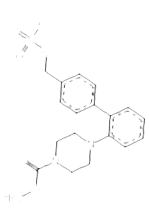 CC(C)(C)OC(=O)N1CCN(c2ccccc2-c2ccc(COS(C)(=O)=O)cc2)CC1